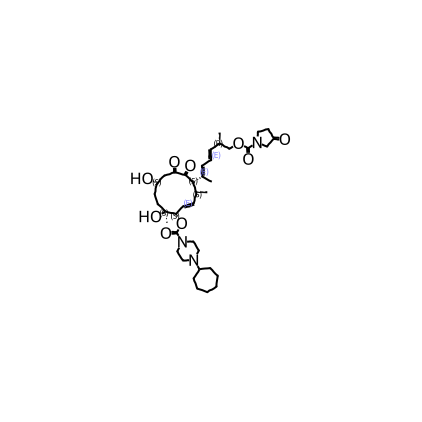 C/C(=C\C=C\[C@@H](C)COC(=O)N1CCC(=O)C1)[C@H]1C(=O)C(=O)C[C@@H](O)CC[C@](C)(O)[C@@H](OC(=O)N2CCN(C3CCCCCC3)CC2)/C=C/[C@@H]1C